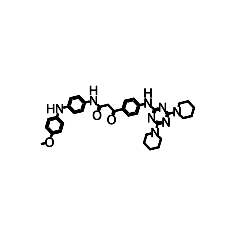 COc1ccc(Nc2ccc(NC(=O)CC(=O)c3ccc(Nc4nc(N5CCCCC5)nc(N5CCCCC5)n4)cc3)cc2)cc1